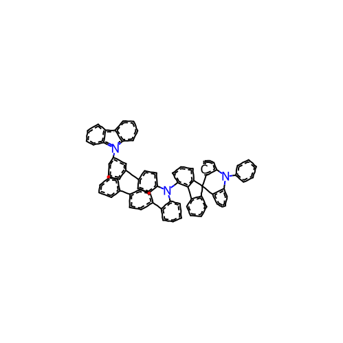 c1ccc(-c2ccc(-c3ccccc3N(c3ccc(-c4cccc(-n5c6ccccc6c6ccccc65)c4)cc3)c3cccc4c3-c3ccccc3C43c4ccccc4N(c4ccccc4)c4ccccc43)cc2)cc1